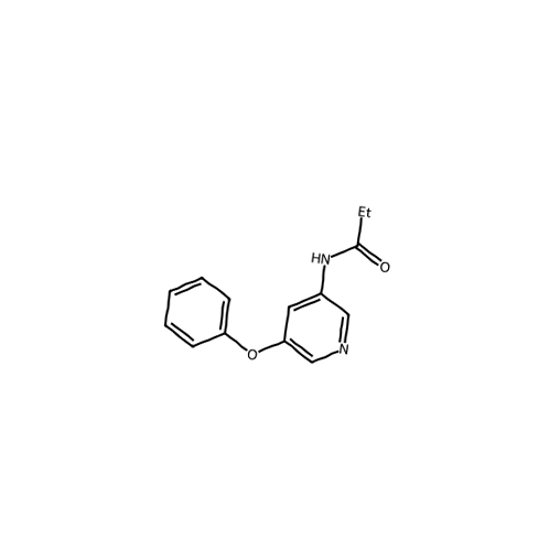 CCC(=O)Nc1cncc(Oc2ccccc2)c1